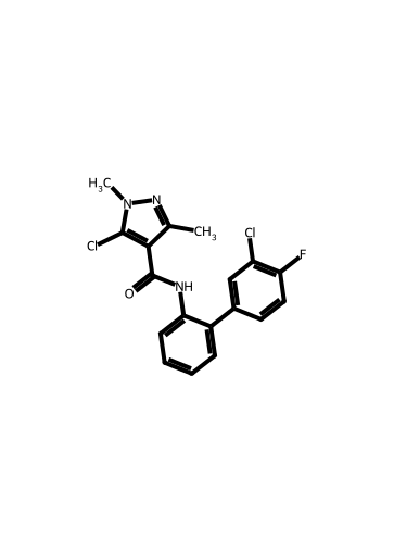 Cc1nn(C)c(Cl)c1C(=O)Nc1ccccc1-c1ccc(F)c(Cl)c1